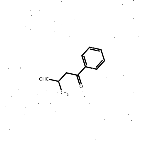 CC([C]=O)CC(=O)c1ccccc1